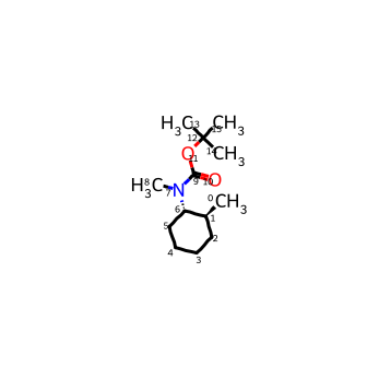 C[C@H]1CCCC[C@@H]1N(C)C(=O)OC(C)(C)C